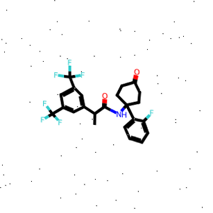 CC(C(=O)NC1(c2ccccc2F)CCC(=O)CC1)c1cc(C(F)(F)F)cc(C(F)(F)F)c1